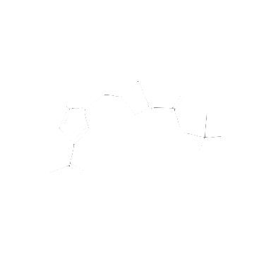 CC(C)(C)OC(=O)N1CC(Cn2cc(C(=O)O)cn2)C1